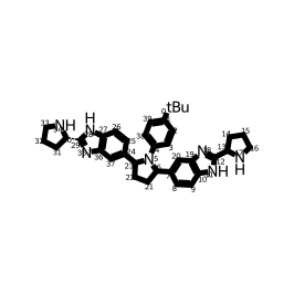 CC(C)(C)c1ccc(N2C(c3ccc4[nH]c(C5CCCN5)nc4c3)CCC2c2ccc3[nH]c([C@@H]4CCCN4)nc3c2)cc1